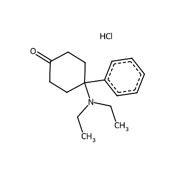 CCN(CC)C1(c2ccccc2)CCC(=O)CC1.Cl